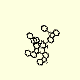 c1ccc(-n2c3ccccc3c3ccc(-c4nc(-c5ccc6ccccc6c5)nc(-c5ccc6sc7ccccc7c6c5-n5c6cc7ccccc7cc6c6c7ccccc7ccc65)n4)cc32)cc1